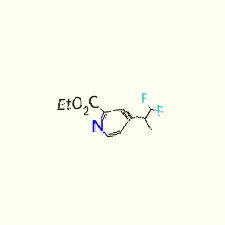 CCOC(=O)c1cc(C(C)C(F)F)ccn1